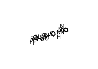 CN(C)c1nc(NC[C@H]2CC[C@H](CNS(=O)(=O)c3ccc(-c4cc(C(F)(F)F)on4)s3)CC2)nc2ccccc12